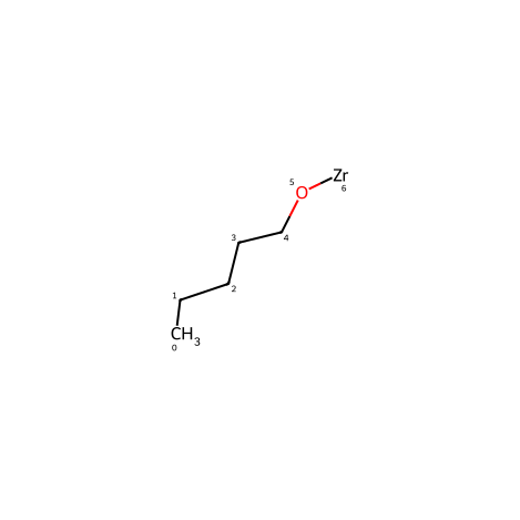 CCCCC[O][Zr]